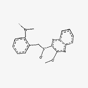 COc1nc2ccccc2nc1[S+]([O-])Cc1ccccc1N(C)C